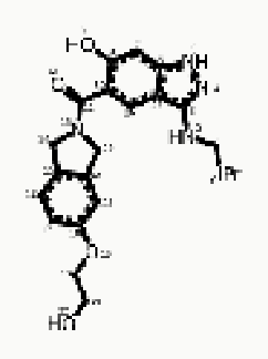 CC(C)CNc1n[nH]c2cc(O)c(C(=O)N3Cc4ccc(OCCO)cc4C3)cc12